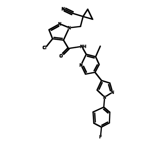 Cc1cc(-c2cnn(-c3ccc(F)cc3)c2)cnc1NC(=O)c1c(Cl)cnn1CC1(C#N)CC1